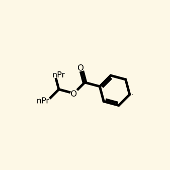 CCCC(CCC)OC(=O)C1=CC[CH]C=C1